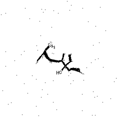 C=CC(O)(C=C)C(C)CC(C)O